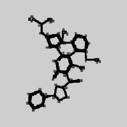 CCc1cccc(CC)c1-n1c(-c2ccn(CC(C)C)n2)nc(=O)c(C(=O)N2CC[C@@H](c3ccccc3)C2)c1O